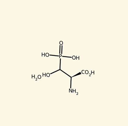 N[C@H](C(=O)O)C(O)P(=O)(O)O.O